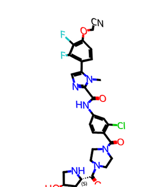 Cn1c(-c2ccc(OCC#N)c(F)c2F)cnc1C(=O)Nc1ccc(C(=O)N2CCN(C(=O)[C@@H]3C[C@@H](O)CN3)CC2)c(Cl)c1